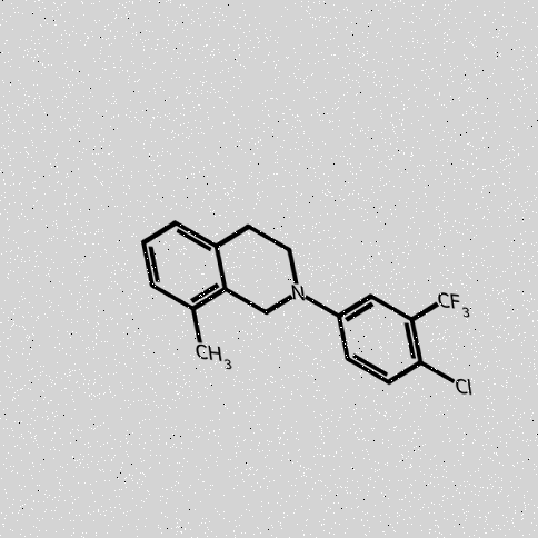 Cc1cccc2c1CN(c1ccc(Cl)c(C(F)(F)F)c1)CC2